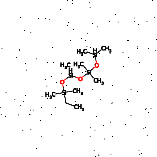 CC[Si](C)(C)O[SiH](C)O[Si](C)(C)O[SiH](C)C